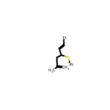 C=C(C)CC(/C=C/CC)SC(C)C